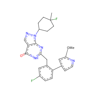 COc1cc(-c2ccc(F)cc2Cc2nc3c(cnn3C3CCC(C)(F)CC3)c(=O)[nH]2)ccn1